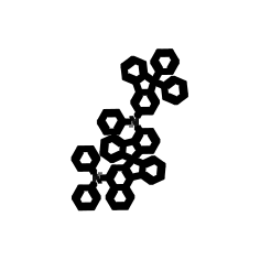 c1ccc(N(c2ccc3c(c2)-c2ccccc2C3(c2ccccc2)c2ccccc2)c2cccc3c2-c2ccccc2C32c3ccccc3-c3c2cc(N(c2ccccc2)c2ccccc2)c2ccccc32)cc1